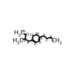 C=CCCC1=CC=C(CC(C)C=C)CC1